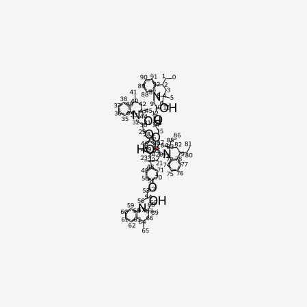 CCC1CC(C)(CC)N(CC(O)COCCOCC(O)C(CC(C)(c2ccc(OCC(O)CN3c4ccccc4C(C)CC3(C)C)cc2)c2ccc(OCC(O)CN3c4ccccc4C(C)CC3(C)C)cc2)N2c3ccccc3C(CC)CC2(C)CC)c2ccccc21